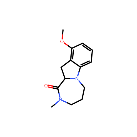 COc1cccc2c1CC1C(=O)N(C)CCCN21